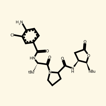 CCCC[C@@H]1OC(=O)C[C@@H]1NC(=O)C1CCCN1C(=O)[C@@H](NC(=O)c1ccc(N)c(Cl)c1)C(C)(C)C